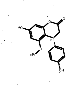 CCCOc1cc(O)cc2c1[C@@H](c1ccc(O)cc1)CC(=O)O2